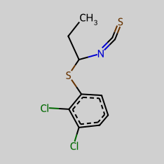 CCC(N=C=S)Sc1cccc(Cl)c1Cl